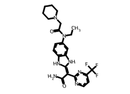 CCN(C(=O)CN1CCCCC1)c1ccc2c(c1)N/C(=C(/C(N)=O)c1nccc(C(F)(F)F)n1)N2